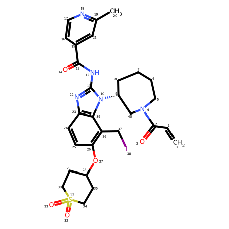 C=CC(=O)N1CCCC[C@@H](n2c(NC(=O)c3ccnc(C)c3)nc3ccc(OC4CCS(=O)(=O)CC4)c(CI)c32)C1